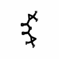 O=C(OC(=O)C1CC1(F)F)C1CC1(F)F